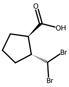 O=C(O)[C@@H]1CCC[C@H]1C(Br)Br